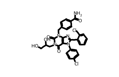 NC(=O)c1ccc(Cn2c(=O)n(CC(O)CO)c(=O)c3c2nc(-c2ccccc2Cl)n3-c2ccc(Cl)cc2)cc1